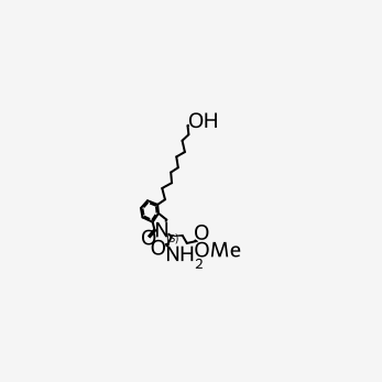 COC(=O)CC[C@@H](C(N)=O)N1Cc2c(CCCCCCCCCCO)cccc2C1=O